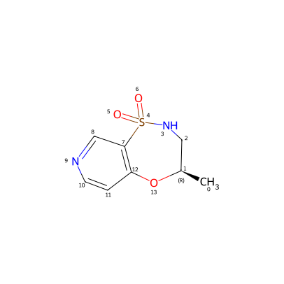 C[C@@H]1CNS(=O)(=O)c2cnccc2O1